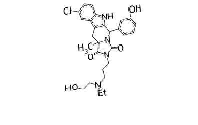 CCN(CCO)CCCN1C(=O)N2C(c3cccc(O)c3)c3[nH]c4ccc(Cl)cc4c3CC2(C)C1=O